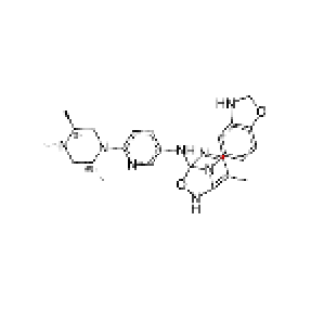 CC1=C2NOC(Nc3ccc(N4C[C@H](C)N(C)C[C@H]4C)nc3)(N=C1)N2c1ccc2c(c1)NCO2